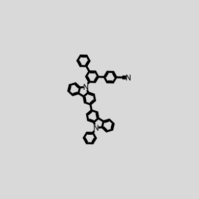 N#Cc1ccc(-c2cc(-c3ccccc3)cc(-n3c4ccccc4c4cc(-c5ccc6c(c5)c5ccccc5n6-c5ccccc5)ccc43)c2)cc1